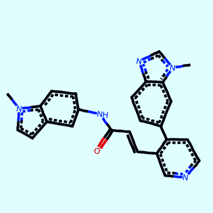 Cn1ccc2cc(NC(=O)C=Cc3cnccc3-c3ccc4ncn(C)c4c3)ccc21